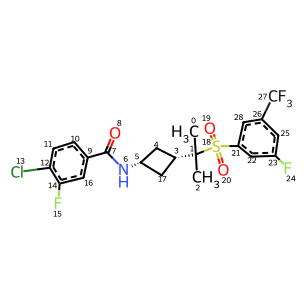 CC(C)([C@H]1C[C@@H](NC(=O)c2ccc(Cl)c(F)c2)C1)S(=O)(=O)c1cc(F)cc(C(F)(F)F)c1